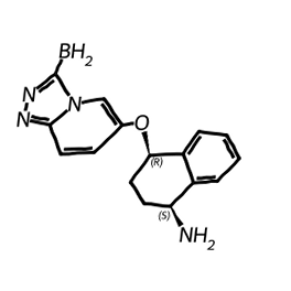 Bc1nnc2ccc(O[C@@H]3CC[C@H](N)c4ccccc43)cn12